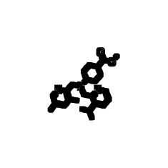 COC(=O)C1CCC(N(Cc2ncc(C)cc2C)Cc2ncccc2C(C)C)CC1